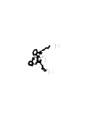 CCCCCOC(=O)C1=C(C(=O)N(C(=O)c2cccc(F)c2)c2c(F)sc(CC(=O)OC)c2Cl)CCCC1